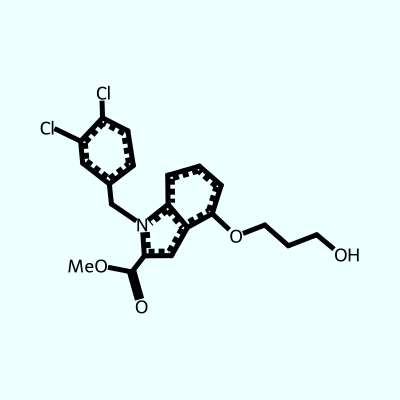 COC(=O)c1cc2c(OCCCO)cccc2n1Cc1ccc(Cl)c(Cl)c1